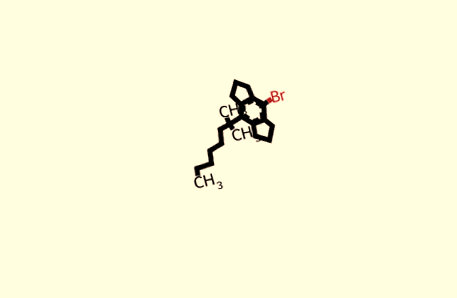 CCCCCCC(C)(C)c1c2c(c(Br)c3c1CCC3)CCC2